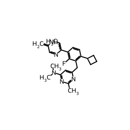 C=C(N)/C=N\C(=C/C)c1ccc(C2CCC2)c(Cc2cc(N(C)C)nc(C)n2)c1F